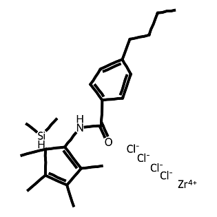 CCCCc1ccc(C(=O)NC2=C(C)C(C)=C(C)C2(C)[SiH](C)C)cc1.[Cl-].[Cl-].[Cl-].[Cl-].[Zr+4]